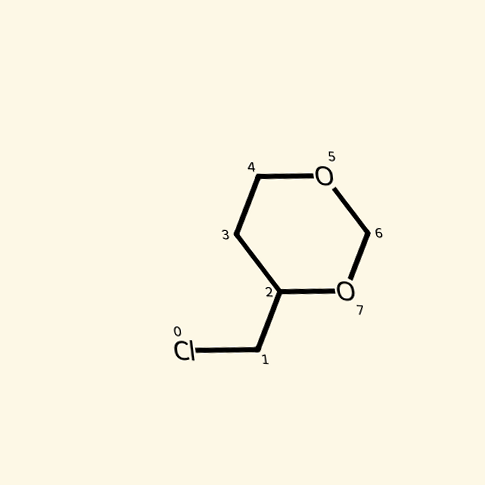 ClCC1CCOCO1